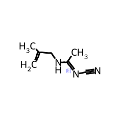 C=C(C)CN/C(C)=N/C#N